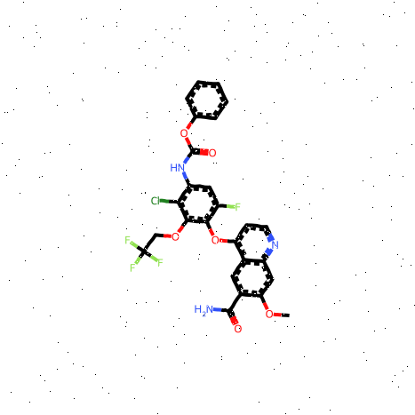 COc1cc2nccc(Oc3c(F)cc(NC(=O)Oc4ccccc4)c(Cl)c3OCC(F)(F)F)c2cc1C(N)=O